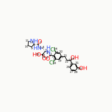 O=C(N[C@@H](CNC(=O)[C@@H]1CCCN1)C(=O)O)c1c(Cl)cc(CCC(O)c2cccc(O)c2)cc1Cl